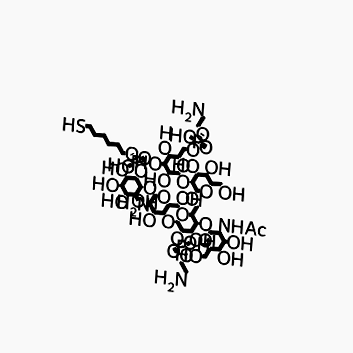 CC(=O)N[C@H]1C(O)[C@@H](O)C(CO)O[C@H]1O[C@@H]1C(CO[C@H]2OC(CO)[C@@H](O)C(O)[C@H]2O[C@H]2OC(COP(=O)(O)OCCN)[C@@H](O)C(O)[C@H]2O)O[C@H](O[C@@H]2C(CO)O[C@H](O[C@@H]3C(O)C(O)[C@@H](O)[C@H](O)C3OP(=O)(O)OCCCCCCS)C(N)C2O)C(OP(=O)(O)OCCN)[C@H]1O